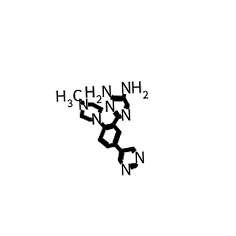 CN1CCN(c2ccc(-c3cncnc3)cc2-c2ncc(N)c(N)n2)CC1